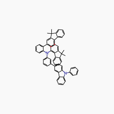 CC1(C)c2ccccc2-c2ccc(-c3ccccc3N(c3cccc(-c4ccc5c(c4)c4ccccc4n5-c4ccccc4)c3)c3cccc4c3-c3ccccc3C4(C)C)cc21